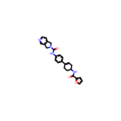 O=C(NC1CC=C(c2ccc(NC(=O)N3Cc4ccncc4C3)cc2)CC1)c1ccco1